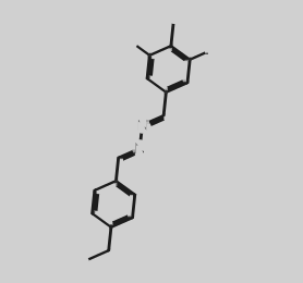 CCc1ccc(/C=N/N=C/c2cc(F)c(C)c(F)c2)cc1